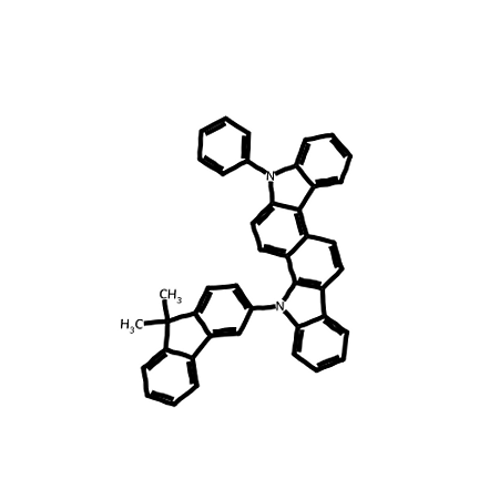 CC1(C)c2ccccc2-c2cc(-n3c4ccccc4c4ccc5c(ccc6c5c5ccccc5n6-c5ccccc5)c43)ccc21